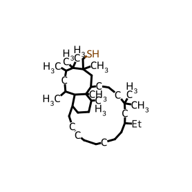 CCC1CCCCCCCCC2CCC(C)C3(C)C(CCCC(C)(C)C1)CC(C)(CS)C(C)(C)C(C)CC(C)C23